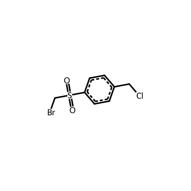 O=S(=O)(CBr)c1ccc(CCl)cc1